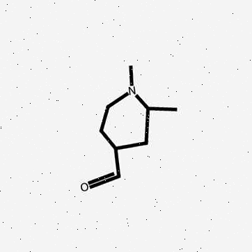 CC1CC(C=O)CCN1C